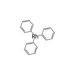 c1cc[c]([Rh]([c]2ccccc2)[c]2ccccc2)cc1